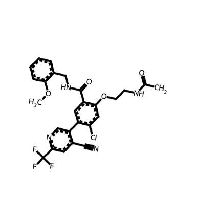 COc1ccccc1CNC(=O)c1cc(-c2cnc(C(F)(F)F)cc2C#N)c(Cl)cc1OCCNC(C)=O